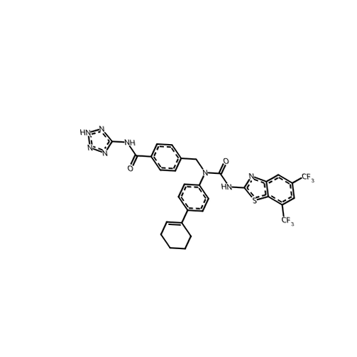 O=C(Nc1nn[nH]n1)c1ccc(CN(C(=O)Nc2nc3cc(C(F)(F)F)cc(C(F)(F)F)c3s2)c2ccc(C3=CCCCC3)cc2)cc1